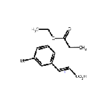 CCOC(=O)CC.[CH2]Cc1cccc(/C=C/C(=O)O)c1